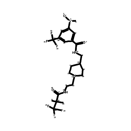 C[S+]([O-])c1cc(C(=O)NCC2CCN(CCNC(=O)C(C)(C)C(F)(F)F)CC2)cc(C(F)(F)F)c1